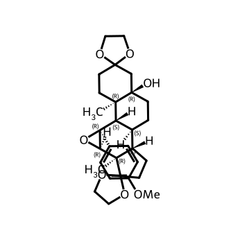 COc1ccc([C@@]23O[C@@H]2[C@@]2(C)[C@@H](CCC24OCCO4)[C@@H]2CC[C@@]4(O)CC5(CC[C@]4(C)[C@H]23)OCCO5)cc1